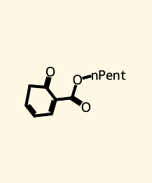 CCCCCOC(=O)C1=CC=CCC1=O